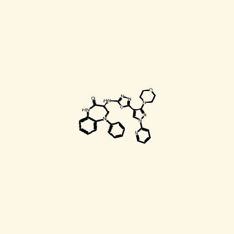 O=C1Nc2ccccc2N(c2ccccc2)C[C@@H]1Nc1nnc(-c2cn(-c3ccccn3)nc2N2CCOCC2)o1